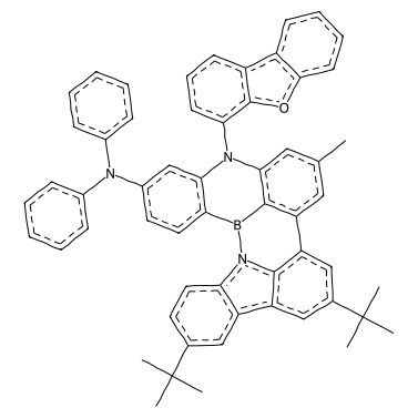 Cc1cc2c3c(c1)N(c1cccc4c1oc1ccccc14)c1cc(N(c4ccccc4)c4ccccc4)ccc1B3n1c3ccc(C(C)(C)C)cc3c3cc(C(C)(C)C)cc-2c31